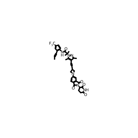 CC#Cc1cc(C(F)(F)F)ccc1NC(=O)C(C)(C)n1nc(C)c(C#CC2CN(c3ccc4c(c3)C(=O)N(C3CCC(=O)NC3=O)C4=O)C2)c1C